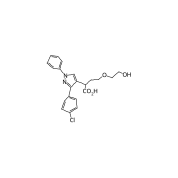 O=C(O)C(CCOCCO)c1cn(-c2ccccc2)nc1-c1ccc(Cl)cc1